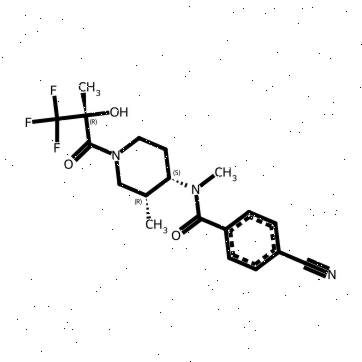 C[C@@H]1CN(C(=O)[C@@](C)(O)C(F)(F)F)CC[C@@H]1N(C)C(=O)c1ccc(C#N)cc1